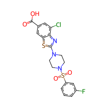 O=C(O)c1cc(Cl)c2nc(N3CCN(S(=O)(=O)c4cccc(F)c4)CC3)sc2c1